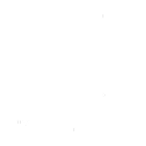 O=C(O)CCc1ccc(COC2=C(Cc3ccc(F)cc3)CCC2)cc1Cl